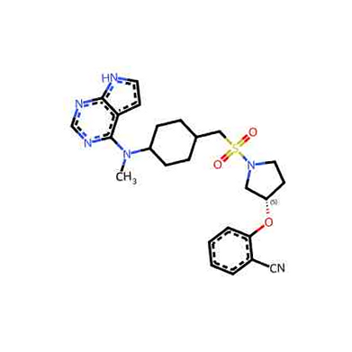 CN(c1ncnc2[nH]ccc12)C1CCC(CS(=O)(=O)N2CC[C@H](Oc3ccccc3C#N)C2)CC1